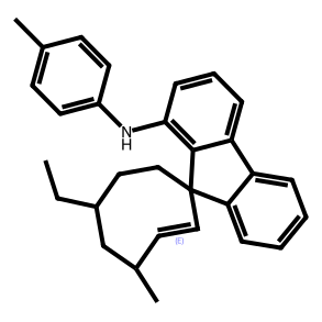 CCC1CCC2(/C=C/C(C)C1)c1ccccc1-c1cccc(Nc3ccc(C)cc3)c12